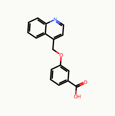 O=C(O)c1cccc(OCc2ccnc3ccccc23)c1